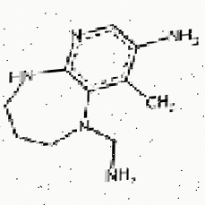 Cc1c(N)cnc2c1N(CN)CCCN2